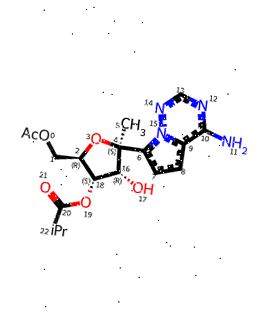 CC(=O)OC[C@H]1O[C@@](C)(c2ccc3c(N)ncnn23)[C@H](O)[C@@H]1OC(=O)C(C)C